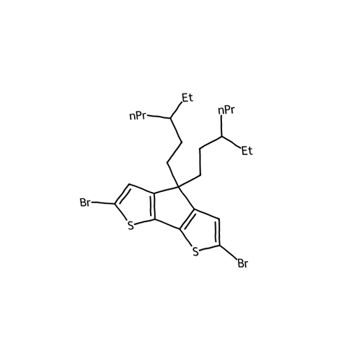 CCCC(CC)CCC1(CCC(CC)CCC)c2cc(Br)sc2-c2sc(Br)cc21